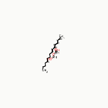 CCCCCCCCCCCCCCCC.OBOBO